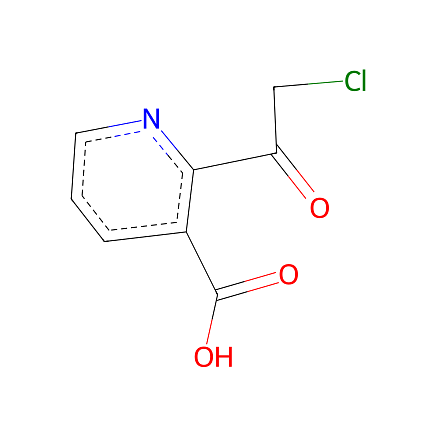 O=C(O)c1cccnc1C(=O)CCl